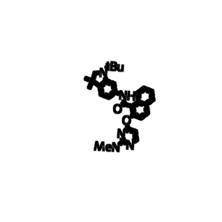 CNc1nccc(Oc2ccc3ccccc3c2C(=O)Nc2ccc3c(c2)N(C(C)(C)C)CC3(C)C)n1